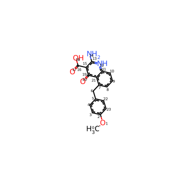 COc1ccc(Cc2cccc3[nH]c(N)c(C(=O)O)c(=O)c23)cc1